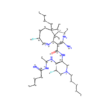 CCCCCN1CC(F)C(NC(C)NC(=N)CCCC)C(NC(=O)C(=C(N)N)C2/N=C\C(F)CCC(CC)(CCCC)C2(C)CCC)C1